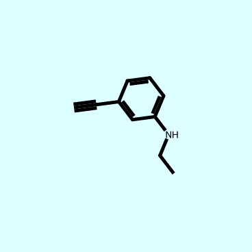 C#Cc1cccc(NCC)c1